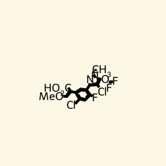 COC=C(C(=O)O)c1cc(-c2nn(C)c(OC(F)F)c2Cl)c(F)cc1Cl